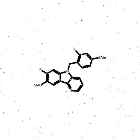 COc1cc2c3ncccc3n(Cc3ccc(SC)cc3F)c2cc1F